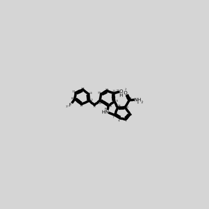 NC(=O)c1cccc2[nH]c3c(Cc4cccc(F)c4)ccc(O)c3c12